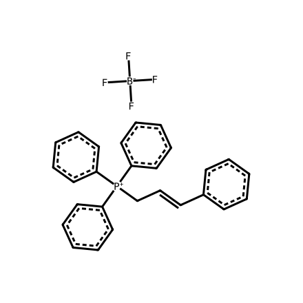 C(=Cc1ccccc1)C[P+](c1ccccc1)(c1ccccc1)c1ccccc1.F[B-](F)(F)F